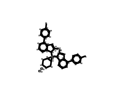 Cc1ccc(-c2cccc3c2C=C(C(C)C)[CH]3[Hf+2]2([CH]3C(C(C)C)=Cc4c(-c5ccc(C)cc5)cccc43)[CH]3CCCC[CH]32)cc1.[Cl-].[Cl-]